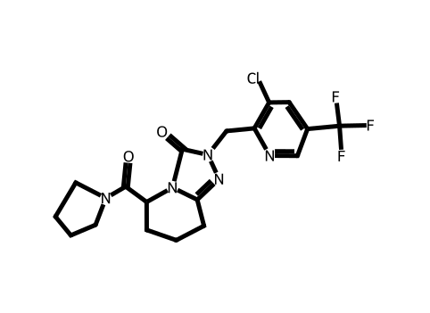 O=C(C1CCCc2nn(Cc3ncc(C(F)(F)F)cc3Cl)c(=O)n21)N1CCCC1